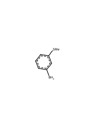 Bc1cccc(SC)c1